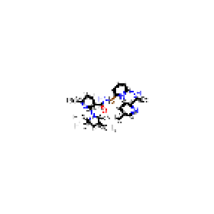 CCC(Nc1cccc(SNC(=O)c2ccc(C(C)(C)C)nc2N2CC(C)CC2(C)C)n1)c1ccc(CNC(C)=O)cn1